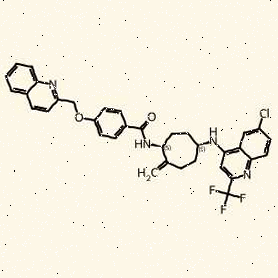 C=C1CC[C@H](Nc2cc(C(F)(F)F)nc3ccc(Cl)cc23)CC[C@@H]1NC(=O)c1ccc(OCc2ccc3ccccc3n2)cc1